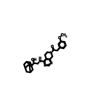 COc1cccc(CC(=O)N2CCc3c(ncnc3NCC(O)C34CC5CC(CC(C5)C3)C4)C2)c1